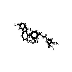 CCOC(=O)N1CCc2c([nH]c3ccc(Cl)cc23)C1c1ccc(OCCn2cc(C#N)c(N)n2)cc1